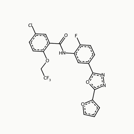 O=C(Nc1cc(-c2nnc(-c3ccco3)o2)ccc1F)c1cc(Cl)ccc1OCC(F)(F)F